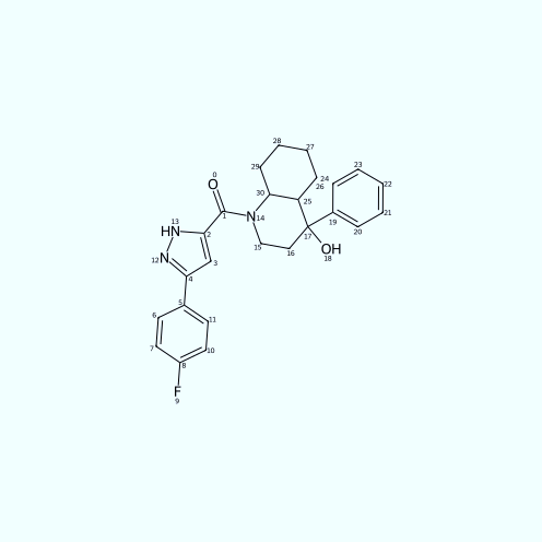 O=C(c1cc(-c2ccc(F)cc2)n[nH]1)N1CCC(O)(c2ccccc2)C2CCCCC21